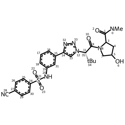 CNC(=O)C1CC(O)CN1C(=O)[C@@H](n1cc(-c2cccc(NS(=O)(=O)c3ccc(C#N)cc3)c2)nn1)C(C)(C)C